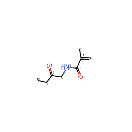 C=C(C)C(=O)NCC(=O)CC